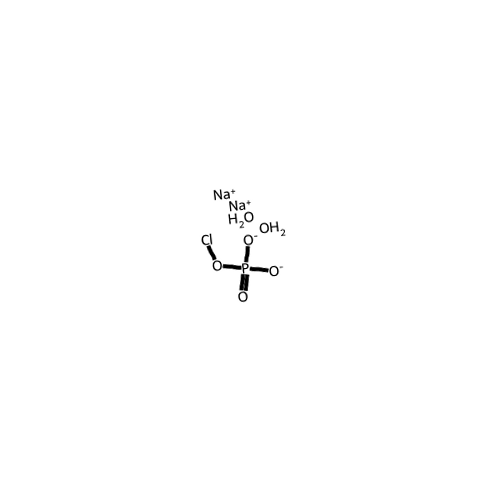 O.O.O=P([O-])([O-])OCl.[Na+].[Na+]